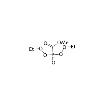 CCOOP(=O)(OOCC)C(=O)OC